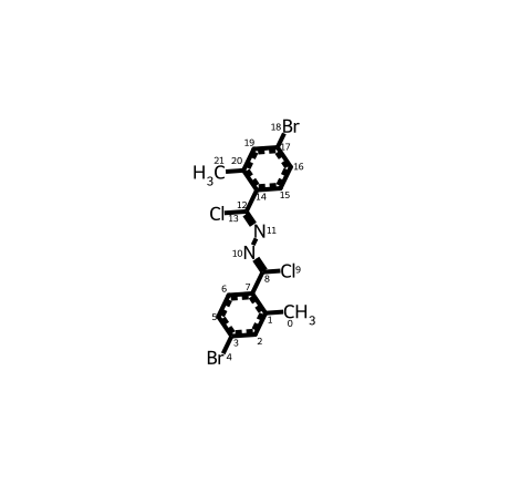 Cc1cc(Br)ccc1C(Cl)=NN=C(Cl)c1ccc(Br)cc1C